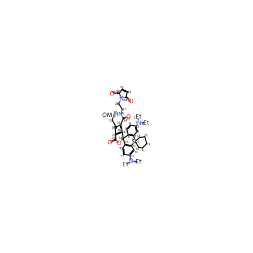 CCN(CC)c1ccc2c(c1)[Si]1(CCCCC1)c1cc(N(CC)CC)ccc1C21OC(=O)c2cc(COC)c(C(=O)NCCN3C(=O)C=CC3=O)cc21